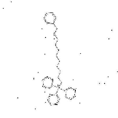 c1ccc(COCCCCCCCCC[PH](c2ccccc2)(c2ccccc2)c2ccccc2)cc1